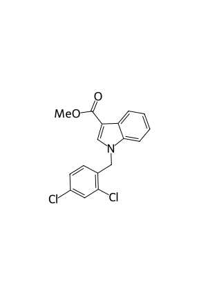 COC(=O)c1cn(Cc2ccc(Cl)cc2Cl)c2ccccc12